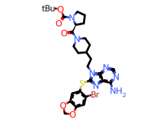 CC(C)(C)OC(=O)N1CCC[C@H]1C(=O)N1CCC(CCn2c(Sc3cc4c(cc3Br)OCO4)nc3c(N)ncnc32)CC1